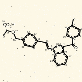 Cc1ccc(C(=O)c2nn(/C=C/c3ccc(CO[C@H](C)C(=O)O)cc3)c3ccccc23)cc1